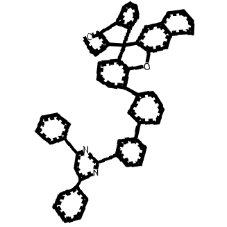 c1ccc(-c2cc(-c3ccccc3)nc(-c3cccc(-c4cccc(-c5cccc6c5Oc5cc7ccccc7cc5C65c6ccccc6-c6ccccc65)c4)c3)n2)cc1